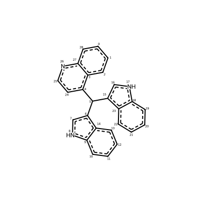 c1ccc2c(C(c3c[nH]c4ccccc34)c3c[nH]c4ccccc34)ccnc2c1